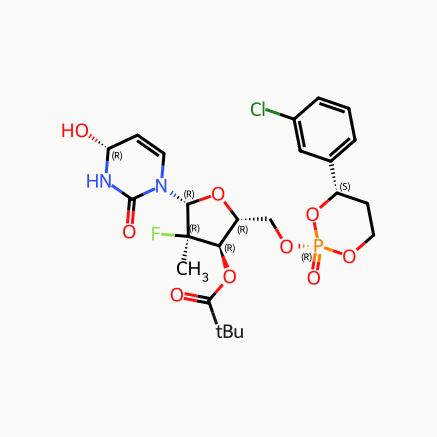 CC(C)(C)C(=O)O[C@@H]1[C@@H](CO[P@@]2(=O)OCC[C@@H](c3cccc(Cl)c3)O2)O[C@@H](N2C=C[C@@H](O)NC2=O)[C@]1(C)F